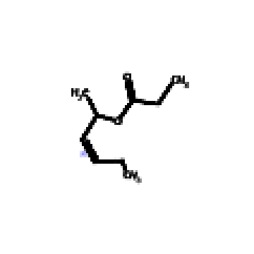 CC/C=C\C(C)OC(=O)CC